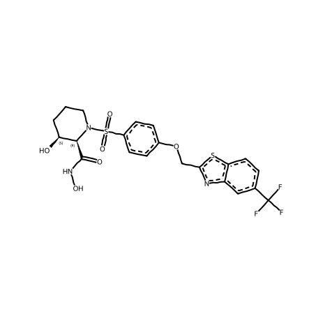 O=C(NO)[C@H]1[C@@H](O)CCCN1S(=O)(=O)c1ccc(OCc2nc3cc(C(F)(F)F)ccc3s2)cc1